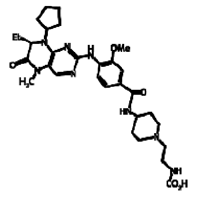 CC[C@@H]1C(=O)N(C)c2cnc(Nc3ccc(C(=O)NC4CCN(CCNC(=O)O)CC4)cc3OC)nc2N1C1CCCC1